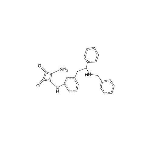 Nc1c(Nc2cccc(CC(NCc3ccccc3)c3ccccc3)c2)c(=O)c1=O